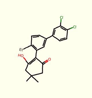 CCc1ccc(-c2ccc(Cl)c(Cl)c2)cc1C1=C(O)CC(C)(C)CC1=O